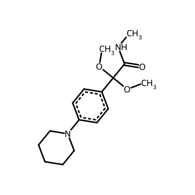 CNC(=O)C(OC)(OC)c1ccc(N2CCCCC2)cc1